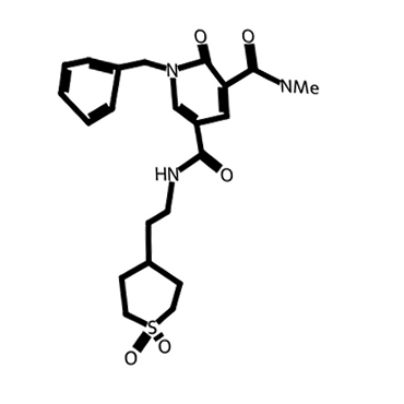 CNC(=O)c1cc(C(=O)NCCC2CCS(=O)(=O)CC2)cn(Cc2ccccc2)c1=O